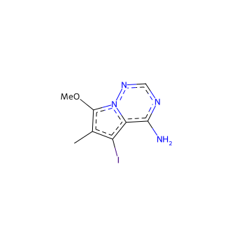 COc1c(C)c(I)c2c(N)ncnn12